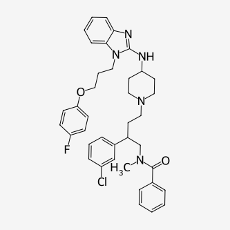 CN(CC(CCN1CCC(Nc2nc3ccccc3n2CCCOc2ccc(F)cc2)CC1)c1cccc(Cl)c1)C(=O)c1ccccc1